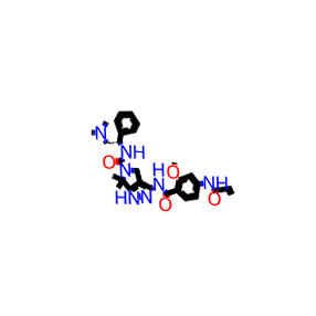 C=CC(=O)Nc1ccc(C(=O)Nc2n[nH]c3c2CN(C(=O)N[C@H](CN(C)C)c2ccccc2)C3(C)C)c(OC)c1